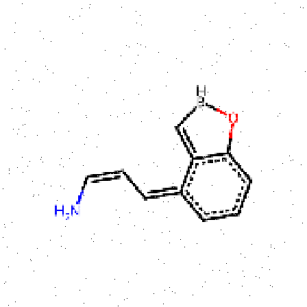 N/C=C\C=c1\cccc2c1=CBO2